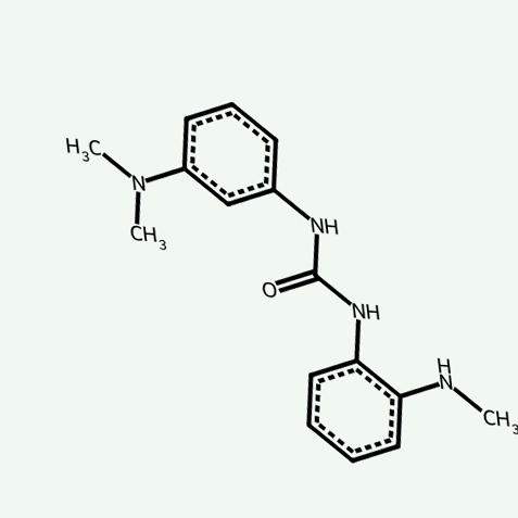 CNc1ccccc1NC(=O)Nc1cccc(N(C)C)c1